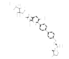 CC1CCN([SH]=NCc2ccc(-c3ccc(-c4nc5[nH]c(O[C@@H]6CO[C@H]7[C@@H]6OC[C@H]7O)nc5cc4Cl)cc3)cc2)C1=O